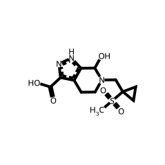 CS(=O)(=O)C1(CN2CCc3c(C(=O)O)n[nH]c3C2O)CC1